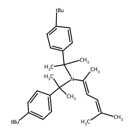 CC(C)=C/C=C(\C)N(C(C)(C)c1ccc(C(C)(C)C)cc1)C(C)(C)c1ccc(C(C)(C)C)cc1